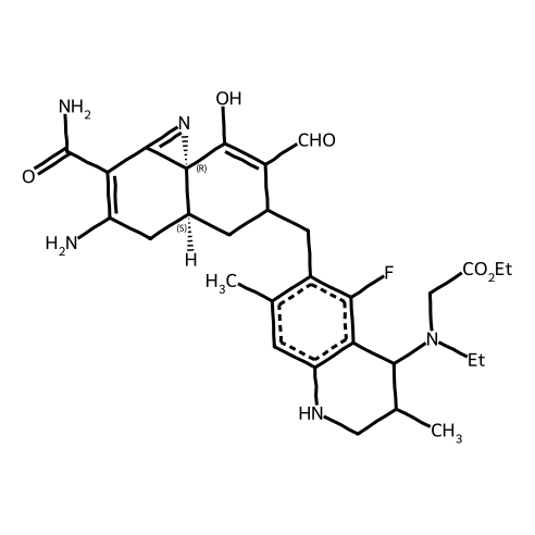 CCOC(=O)CN(CC)C1c2c(cc(C)c(CC3C[C@H]4CC(N)=C(C(N)=O)C5=N[C@@]54C(O)=C3C=O)c2F)NCC1C